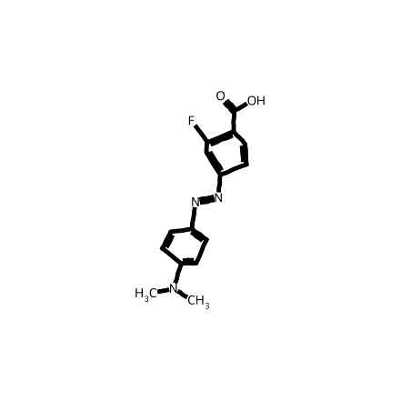 CN(C)c1ccc(N=Nc2ccc(C(=O)O)c(F)c2)cc1